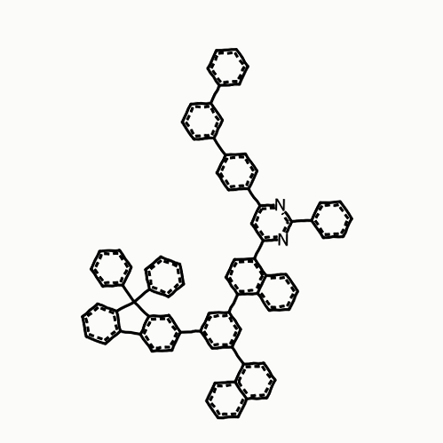 c1ccc(-c2cccc(-c3ccc(-c4cc(-c5ccc(-c6cc(-c7ccc8c(c7)C(c7ccccc7)(c7ccccc7)c7ccccc7-8)cc(-c7cccc8ccccc78)c6)c6ccccc56)nc(-c5ccccc5)n4)cc3)c2)cc1